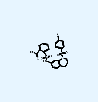 O=C(O)c1ccccc1S(=O)(=O)Nc1ccc2c(c1)N(S(=O)(=O)c1ccc(F)cc1)CCC2